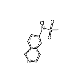 CS(=O)(=O)N(Cl)c1ccc2cnccc2c1